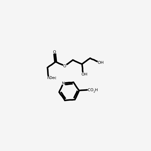 CCCCCCCCCCCC(=O)OCC(O)CO.O=C(O)c1cccnc1